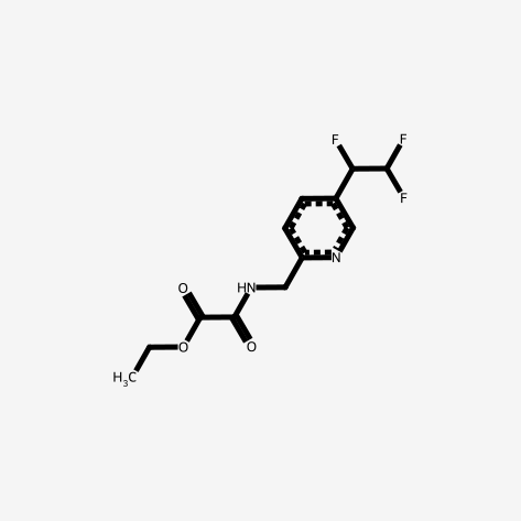 CCOC(=O)C(=O)NCc1ccc(C(F)C(F)F)cn1